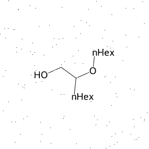 CCCCCCOC(CO)CCCCCC